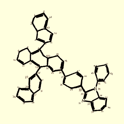 C1=CCC2C=C(C3=C4CCC=CC4=C(c4ccc5ccccc5c4)C4=CC(C5=CCC(c6nc7ccccc7n6-c6ccccc6)C=C5)=CCC43)C=CC2=C1